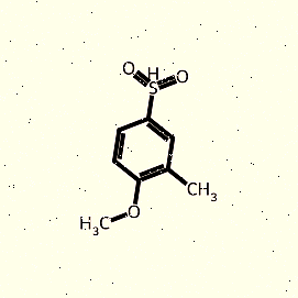 COc1ccc([SH](=O)=O)cc1C